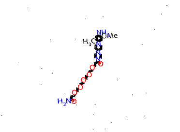 COc1cc(N2CCC(N3CCN(C(=O)CCOCCOCCOCCOCCOCCC(N)=O)CC3)CC2)c(C)cc1N